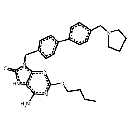 CCCCOc1nc(N)c2[nH]c(=O)n(Cc3ccc(-c4ccc(CN5CCCC5)cc4)cc3)c2n1